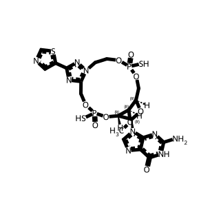 CO[C@H]1[C@H]2OP(=O)(S)OCc3nc(-c4cncs4)nn3CCOP(=O)(S)OC[C@H]1O[C@H]2n1cnc2c(=O)[nH]c(N)nc21